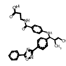 CCC(C)C(Nc1ccc(C(=O)NCCC(=O)O)cc1)c1ccc(-c2noc(-c3ccccc3)n2)cc1